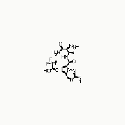 CSc1ncc2ccc(C(=O)Nc3cn(C)nc3C(N)=O)n2n1.O=C(O)C(F)(F)F